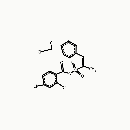 CC(=Cc1ccccc1)S(=O)(=O)NC(=O)c1ccc(Cl)cc1Cl.ClCCl